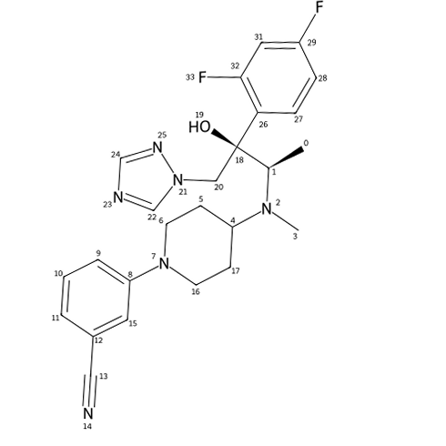 C[C@@H](N(C)C1CCN(c2cccc(C#N)c2)CC1)[C@](O)(Cn1cncn1)c1ccc(F)cc1F